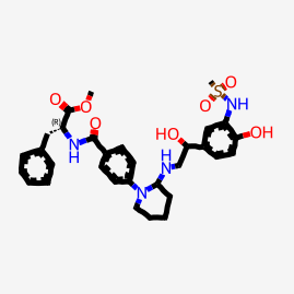 COC(=O)[C@@H](Cc1ccccc1)NC(=O)c1ccc(N2CCCCC2NCC(O)c2ccc(O)c(NS(C)(=O)=O)c2)cc1